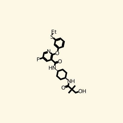 CCSc1cccc(Oc2ncc(F)cc2C(=O)N[C@H]2CC[C@H](NC(=O)C(C)(C)CO)CC2)c1